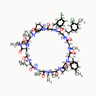 CC[C@H](C)[C@@H]1NC(=O)[C@H](CC(C)C)N(C)C(=O)C[C@@H](C(=O)N(C)C)N(C)C(=O)[C@H]([C@@H](C)CC)N(C)C(=O)C2(CCCC2)NC(=O)[C@H](Cc2cccc(F)c2)N(C)C(=O)[C@H](CCc2ccc(C(F)(F)F)c(Cl)c2)NC(=O)CN(C)C(=O)[C@H](Cc2ccc(C)cc2)N(C)C(=O)[C@@H]2CCN2C(=O)[C@H](C)N(C)C1=O